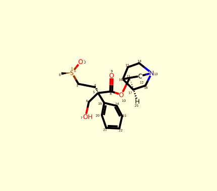 C[S@@+]([O-])CC[C@](CO)(C(=O)O[C@@H]1CN2CCC1CC2)c1ccccc1